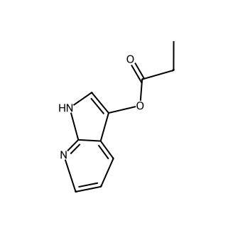 CCC(=O)Oc1c[nH]c2ncccc12